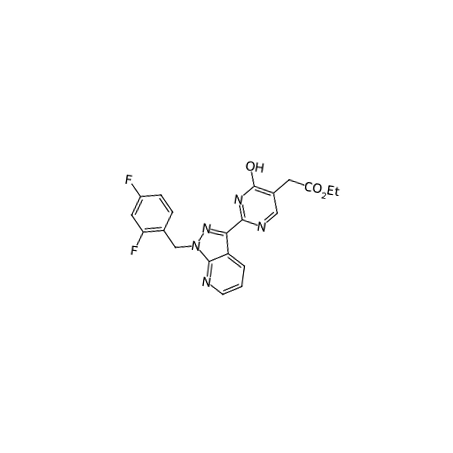 CCOC(=O)Cc1cnc(-c2nn(Cc3ccc(F)cc3F)c3ncccc23)nc1O